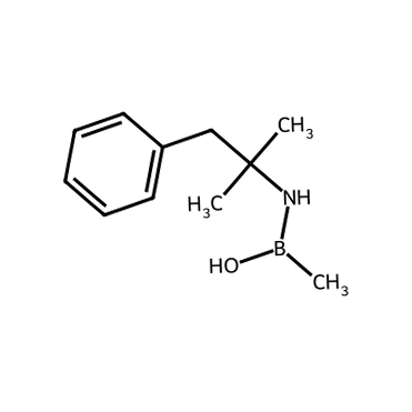 CB(O)NC(C)(C)Cc1ccccc1